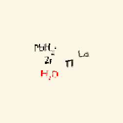 O.[La].[PbH2].[Ti].[Zr]